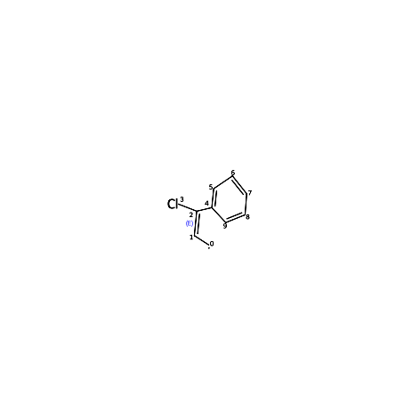 [CH2]/C=C(/Cl)c1ccccc1